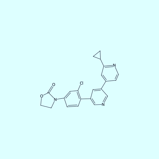 O=C1OCCN1c1ccc(-c2cncc(-c3ccnc(C4CC4)c3)c2)c(Cl)c1